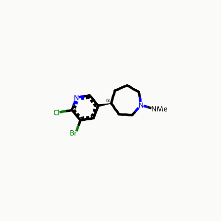 CNN1CCC[C@H](c2cnc(Cl)c(Br)c2)CC1